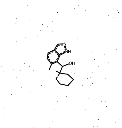 Cc1ccc2cn[nH]c2c1C(O)C1(C)CCCCC1